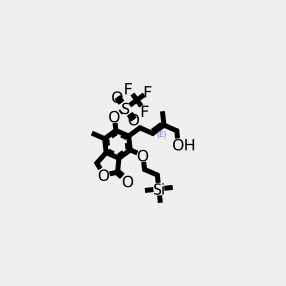 C/C(=C\Cc1c(OS(=O)(=O)C(F)(F)F)c(C)c2c(c1OCC[Si](C)(C)C)C(=O)OC2)CO